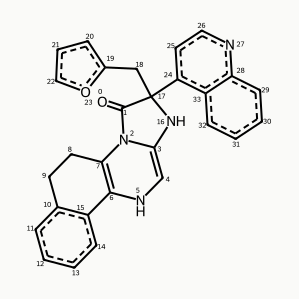 O=C1N2C(=CNC3=C2CCc2ccccc23)NC1(Cc1ccco1)c1ccnc2ccccc12